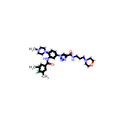 Cc1cc(C(=O)Nc2cc(-n3cc(C(=O)NCCCN4CCOCC4)nn3)ccc2N2CCN(C)CC2)cc(C)c1F